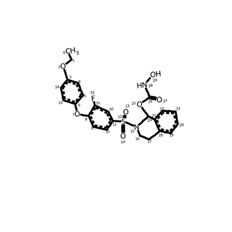 CCOc1ccc(Oc2ccc(S(=O)(=O)N3CCc4ccccc4C3OC(=O)NO)cc2F)cc1